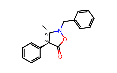 C[C@H]1[C@H](c2ccccc2)C(=O)ON1Cc1ccccc1